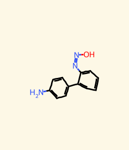 Nc1ccc(-c2ccccc2/N=N\O)cc1